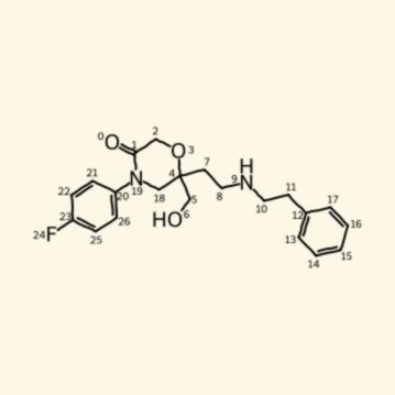 O=C1COC(CO)(CCNCCc2ccccc2)CN1c1ccc(F)cc1